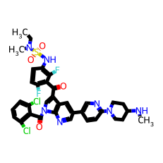 CCN(C)S(=O)(=O)Nc1ccc(F)c(C(=O)c2cn(C(=O)c3c(Cl)cccc3Cl)c3ncc(-c4ccc(N5CCC(NC)CC5)nc4)cc23)c1F